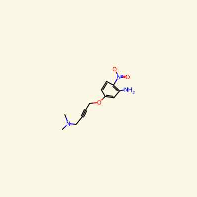 CN(C)CC#CCOc1ccc([N+](=O)[O-])c(N)c1